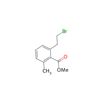 COC(=O)c1c(C)cccc1CCBr